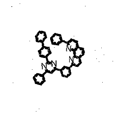 c1ccc(-c2ccc(-c3nc(-c4ccccc4)cc(-c4cccc(-c5ccc6ccc7ccc(-c8ccccc8)nc7c6n5)c4)n3)cc2)cc1